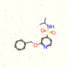 CC(C)NS(=O)(=O)c1ccnc(OCc2ccccc2)c1